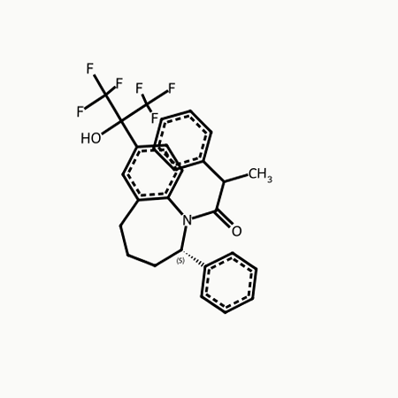 CC(C(=O)N1c2ccc(C(O)(C(F)(F)F)C(F)(F)F)cc2CCC[C@H]1c1ccccc1)c1ccccc1